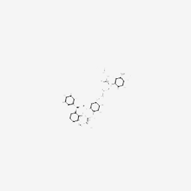 CCCCC(=O)N(CCCOc1ccc(CC(Nc2ccccc2C(=O)c2ccccc2)C(=O)O)cc1)c1cccc(C)c1